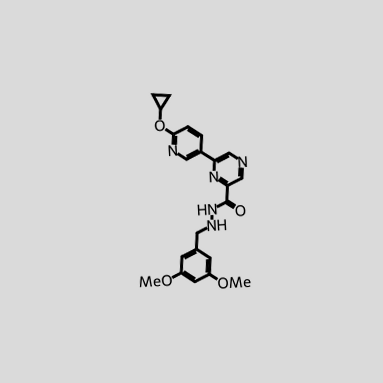 COc1cc(CNNC(=O)c2cncc(-c3ccc(OC4CC4)nc3)n2)cc(OC)c1